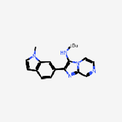 Cn1ccc2ccc(-c3nc4cnccn4c3NC(C)(C)C)cc21